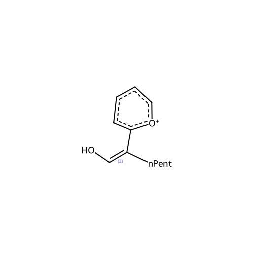 CCCCC/C(=C/O)c1cccc[o+]1